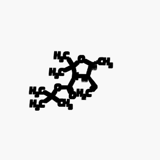 C=C[C@@H]1[C@@H](C)OC(C)(C)N1C(=O)OC(C)(C)C